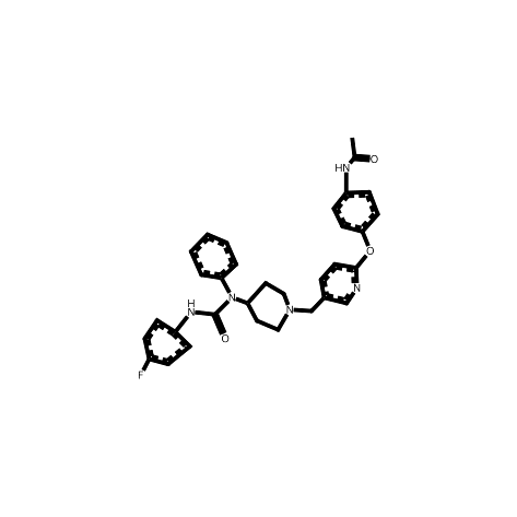 CC(=O)Nc1ccc(Oc2ccc(CN3CCC(N(C(=O)Nc4ccc(F)cc4)c4ccccc4)CC3)cn2)cc1